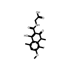 COc1cc(C)c2c(c1F)C(C)C(=O)C(C(=O)NCC(=O)O)=C2O